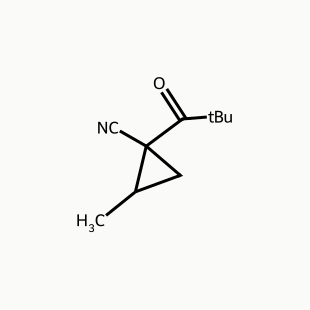 CC1CC1(C#N)C(=O)C(C)(C)C